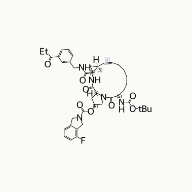 CCC(=O)c1cccc(CNC(=O)[C@@]23C[C@H]2/C=C\CCCCC[C@H](NC(=O)OC(C)(C)C)C(=O)N2C[C@H](OC(=O)N4Cc5cccc(F)c5C4)C[C@H]2C(=O)N3)c1